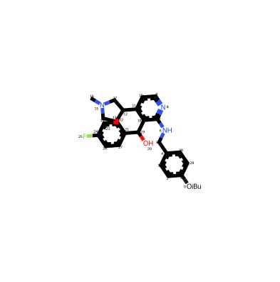 CC(C)COc1ccc(CNc2nccc(C3CCN(C)C3)c2C(O)c2ccc(F)cc2)cc1